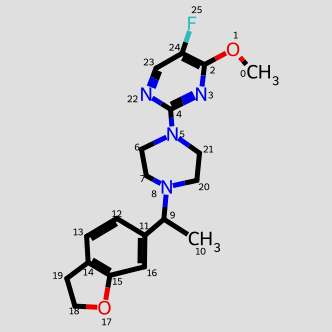 COc1nc(N2CCN(C(C)c3ccc4c(c3)OCC4)CC2)ncc1F